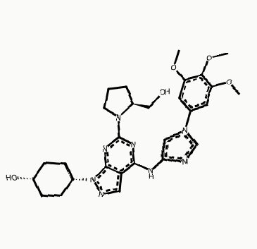 COc1cc(-n2cnc(Nc3nc(N4CCC[C@H]4CO)nc4c3cnn4[C@H]3CC[C@@H](O)CC3)c2)cc(OC)c1OC